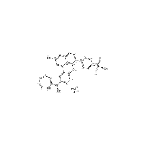 CCN(C1=CC=CC=CN1)c1ccc(Oc2c(-c3ccc(S(C)(=O)=O)cc3)ccc3cc(O)ccc23)cc1.Cl.Cl